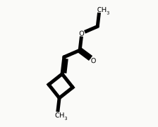 CCOC(=O)C=C1CC(C)C1